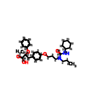 CCCN(CCCOc1ccc(C[C@](C)(Oc2ccccc2)C(=O)O)cc1)C(=O)NC1CCCCC1